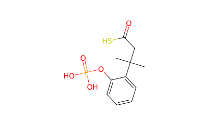 CC(C)(CC(=O)S)c1ccccc1OP(=O)(O)O